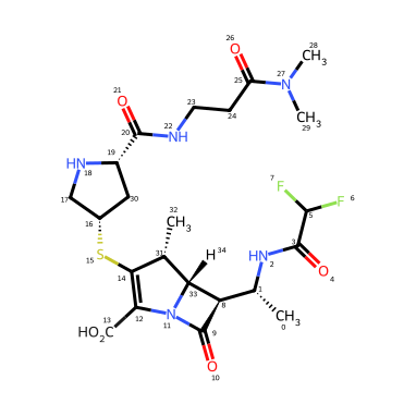 C[C@@H](NC(=O)C(F)F)[C@H]1C(=O)N2C(C(=O)O)=C(S[C@@H]3CN[C@H](C(=O)NCCC(=O)N(C)C)C3)[C@H](C)[C@H]12